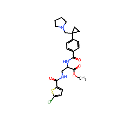 COC(=O)C(CNC(=O)c1ccc(Cl)s1)NC(=O)c1ccc(C2(CN3CCCC3)CC2)cc1